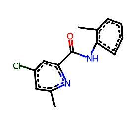 Cc1cc(Cl)cc(C(=O)Nc2ccccc2C)n1